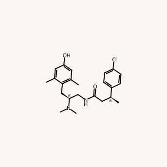 Cc1cc(O)cc(C)c1C[C@@H](CNC(=O)C[C@H](C)c1ccc(Cl)cc1)N(C)C